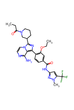 CCOc1cc(C(=O)Nc2cc(C(F)(F)F)n(C)n2)ccc1-c1nc(C2CCCN(C(=O)CC)C2)n2ccnc(N)c12